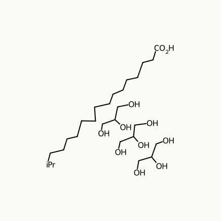 CC(C)CCCCCCCCCCCCCCC(=O)O.OCC(O)CO.OCC(O)CO.OCC(O)CO